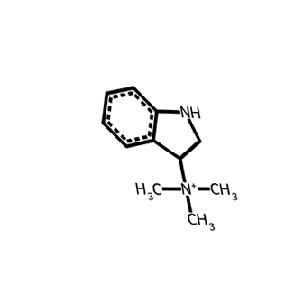 C[N+](C)(C)C1CNc2ccccc21